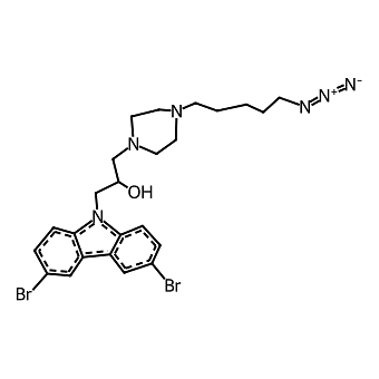 [N-]=[N+]=NCCCCCN1CCN(CC(O)Cn2c3ccc(Br)cc3c3cc(Br)ccc32)CC1